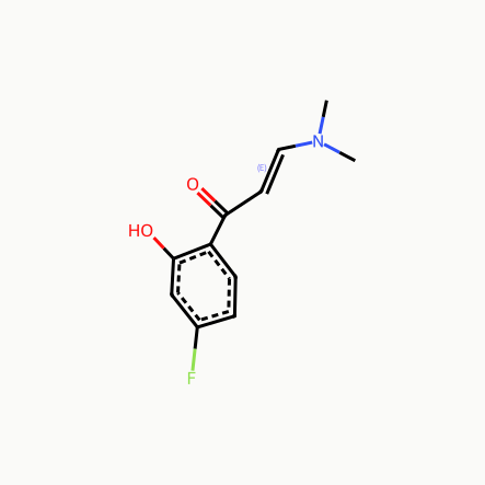 CN(C)/C=C/C(=O)c1ccc(F)cc1O